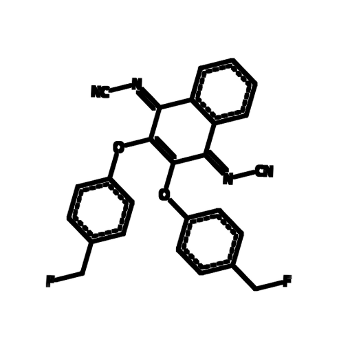 N#C/N=C1C(Oc2ccc(CF)cc2)=C(Oc2ccc(CF)cc2)/C(=N/C#N)c2ccccc2\1